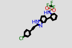 O=S(=O)(Nc1ccccc1-c1ccc2[nH]c(C#Cc3ccc(Cl)cc3)nc2c1)C(F)(F)F